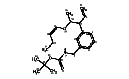 C=CC(c1cccc(CNC(=O)OC(C)(C)C)c1)C(C)O/C=C\CC